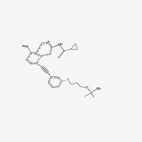 CNc1ncc(C#Cc2cccc(OCCCO[Si](C)(C)C(C)(C)C)c2)c2cc(NC(=O)C3CC3)ncc12